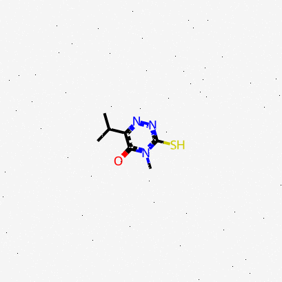 CC(C)c1nnc(S)n(C)c1=O